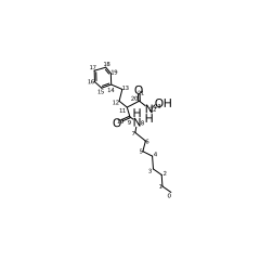 CCCCCCCCNC(=O)C(CCc1ccccc1)C(=O)NO